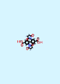 O=C(O)c1ccc(-c2ccc(C(=O)O)cc2N2C(=O)CCC2=O)c(N2C(=O)CCC2=O)c1